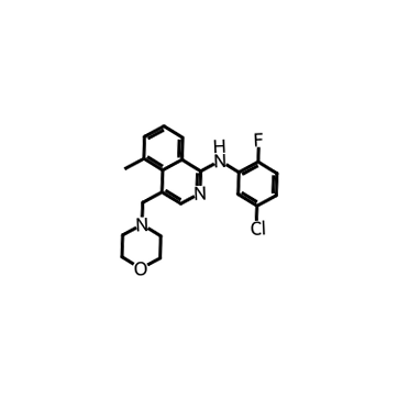 Cc1cccc2c(Nc3cc(Cl)ccc3F)ncc(CN3CCOCC3)c12